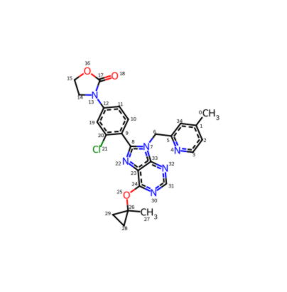 Cc1ccnc(Cn2c(-c3ccc(N4CCOC4=O)cc3Cl)nc3c(OC4(C)CC4)ncnc32)c1